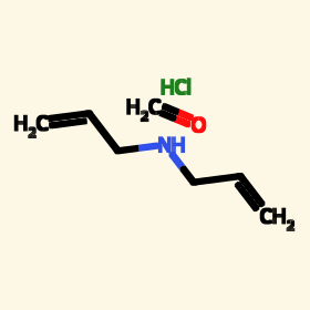 C=CCNCC=C.C=O.Cl